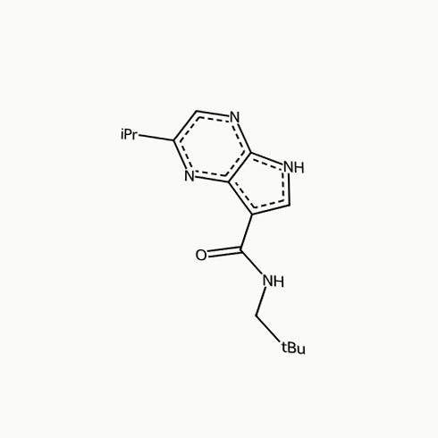 CC(C)c1cnc2[nH]cc(C(=O)NCC(C)(C)C)c2n1